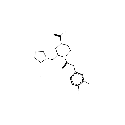 Cl.NC(=O)[C@H]1CCN(C(=O)Cc2ccc(Cl)c(Cl)c2)[C@@H](CN2CCCC2)C1